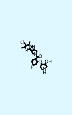 Cc1nc2c3c(nn2c(C)c1Cl)CN(C(=O)c1ccc(F)cc1O[C@@H]1CCNC[C@H]1O)C3